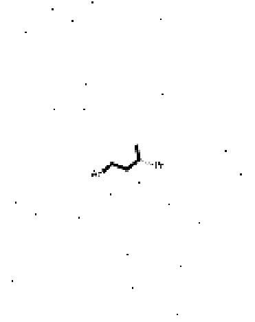 CC(=O)CC[C@H](C)C(C)C